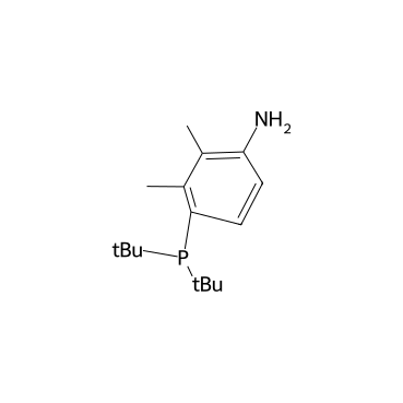 Cc1c(N)ccc(P(C(C)(C)C)C(C)(C)C)c1C